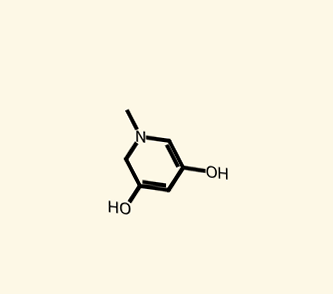 CN1C=C(O)C=C(O)C1